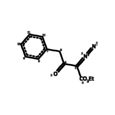 CCOC(=O)C(=[N+]=[N-])C(=O)Cc1ccccc1